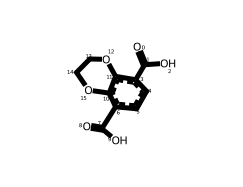 O=C(O)c1ccc(C(=O)O)c2c1OCCO2